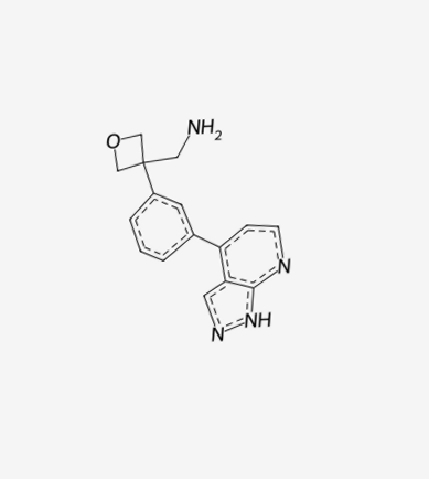 NCC1(c2cccc(-c3ccnc4[nH]ncc34)c2)COC1